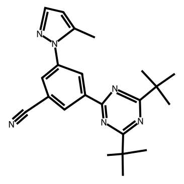 Cc1ccnn1-c1cc(C#N)cc(-c2nc(C(C)(C)C)nc(C(C)(C)C)n2)c1